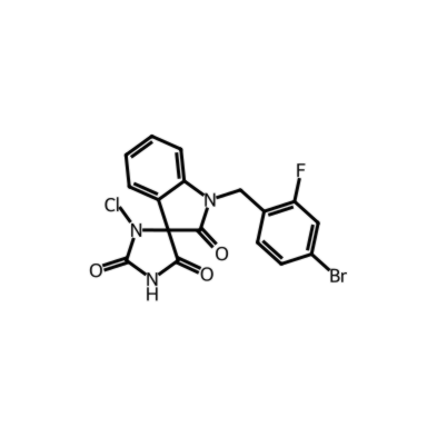 O=C1NC(=O)C2(C(=O)N(Cc3ccc(Br)cc3F)c3ccccc32)N1Cl